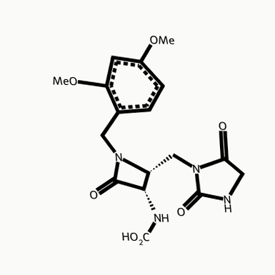 COc1ccc(CN2C(=O)[C@@H](NC(=O)O)[C@H]2CN2C(=O)CNC2=O)c(OC)c1